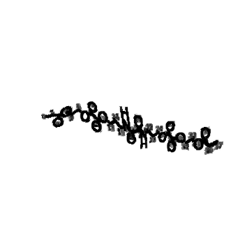 C=CC(=O)OCCOC(=O)C(=O)OCCCNC(=O)C(=O)NCCCOC(=O)C(=O)OCCOC(=O)C=C